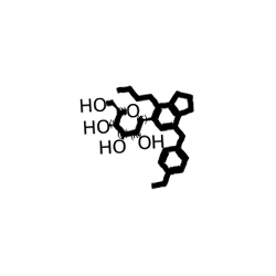 CCCCc1c([C@@H]2O[C@H](CO)[C@@H](O)[C@H](O)[C@H]2O)cc(Cc2ccc(CC)cc2)c2c1CCC2